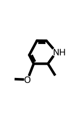 COC1=CC=CNC1C